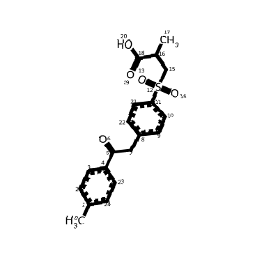 Cc1ccc(C(=O)Cc2ccc(S(=O)(=O)CC(C)C(=O)O)cc2)cc1